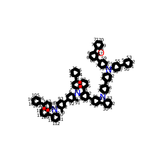 Cc1cc(-c2ccc(N(c3ccc(-c4ccccc4)cc3)c3ccc(-c4ccc5c6ccccc6n(-c6ccc(-c7ccc(N(c8ccc(-c9ccccc9)cc8)c8ccc(-c9cccc%10c9oc9ccccc9%10)cc8)cc7)cc6)c5c4)cc3-c3ccccc3)c(C)c2)ccc1N(c1ccc(-c2ccccc2)cc1)c1ccccc1-c1ccccc1